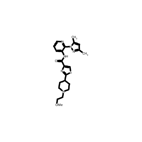 COCCN1CCC(c2nc(C(=O)Nc3cccnc3-n3nc(C)cc3C)cs2)CC1